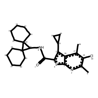 Cc1nc2sc(C(=O)NC3C4(CCCCC4)C34CCCCC4)c(C3CC3)c2c(C)c1Cl